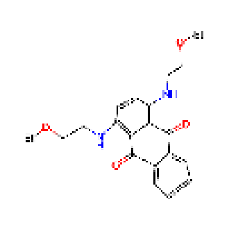 CCOCCNc1ccc(NCCOCC)c2c1C(=O)c1ccccc1C2=O